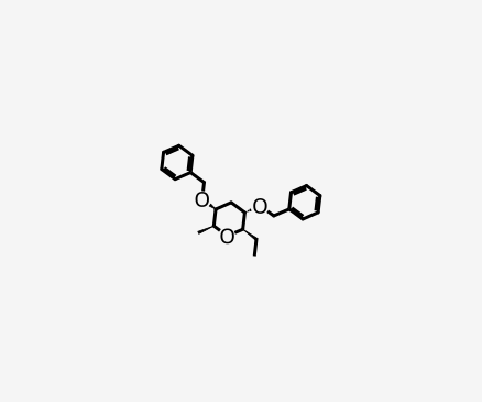 CC[C@H]1O[C@@H](C)[C@@H](OCc2ccccc2)C[C@@H]1OCc1ccccc1